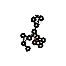 CC1(C)c2ccccc2-n2c3ccc(-c4ccc5c(c4)c4cc6c(cc4n5-c4ccc5c(c4)c4ccccc4n5-c4cccc(-c5ccccc5)c4)C4(C5=C(CCC=C5)c5ccccc54)c4ccccc4-6)cc3c3cccc1c32